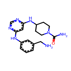 NCc1cccc(Nc2cc(NC3CCN(C(N)=O)CC3)ncn2)c1